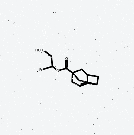 CC(C)C(CC(=O)O)OC(=O)C12CC=C3C(CC3C1)C2